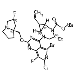 C=CC1[C@@H]2[C@H]1N(C(=O)OC(C)(C)C)[C@H](CC)CN2c1nc(OC[C@@]23CCCN2C[C@H](F)C3)nc2c(F)c(Cl)nc(Br)c12